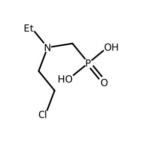 CCN(CCCl)CP(=O)(O)O